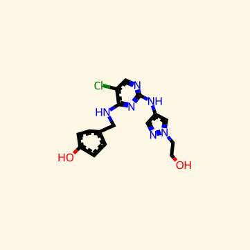 OCCn1cc(Nc2ncc(Cl)c(NCc3ccc(O)cc3)n2)cn1